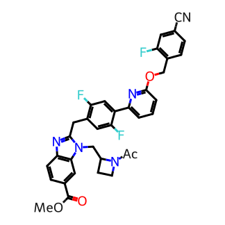 COC(=O)c1ccc2nc(Cc3cc(F)c(-c4cccc(OCc5ccc(C#N)cc5F)n4)cc3F)n(CC3CCN3C(C)=O)c2c1